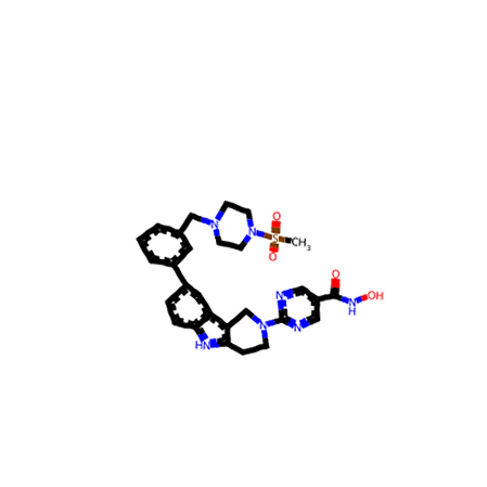 CS(=O)(=O)N1CCN(Cc2cccc(-c3ccc4[nH]c5c(c4c3)CN(c3ncc(C(=O)NO)cn3)CC5)c2)CC1